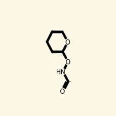 O=[C]NOC1CCCCO1